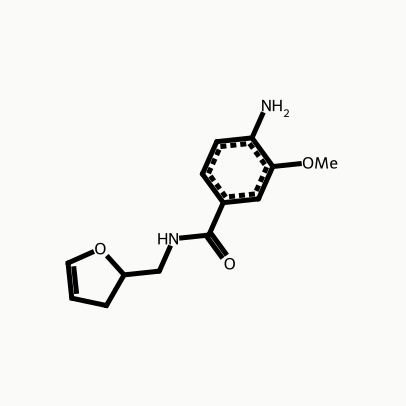 COc1cc(C(=O)NCC2CC=CO2)ccc1N